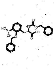 O=C(N[C@@H](Cc1cccc(B(O)O)c1OCc1ccccc1)C(=O)O)OCc1ccccc1